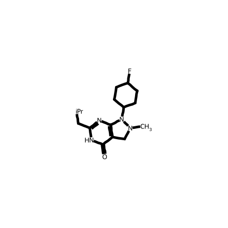 CC(C)Cc1nc2c(c(=O)[nH]1)CN(C)N2C1CCC(F)CC1